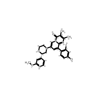 COc1cc([C@H]2CN(c3cc(-c4ccc(Cl)cc4F)c4nc(C)c(C)c(=O)n4c3)CCO2)ccn1